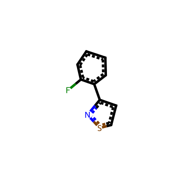 Fc1ccccc1-c1ccsn1